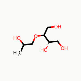 CC(O)COC(CO)[C@@H](O)CO